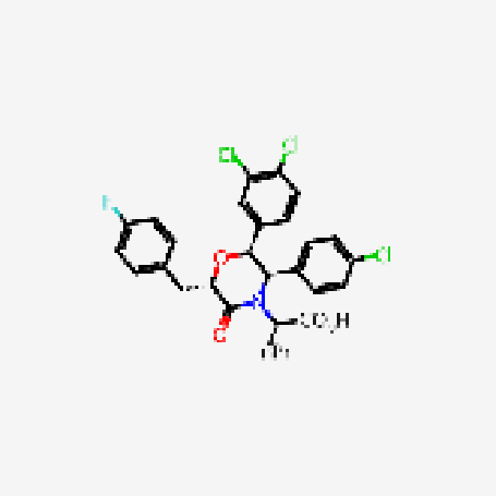 CCC[C@H](C(=O)O)N1C(=O)[C@H](Cc2ccc(F)cc2)O[C@@H](c2ccc(Cl)c(Cl)c2)[C@H]1c1ccc(Cl)cc1